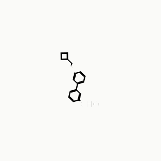 O=Cc1cccc(-c2cccc(OCC3CCC3)c2)c1